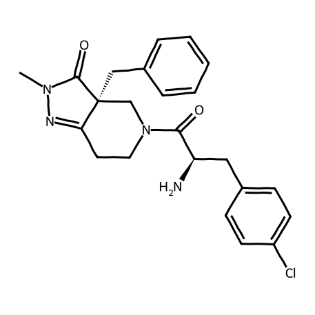 CN1N=C2CCN(C(=O)[C@H](N)Cc3ccc(Cl)cc3)C[C@]2(Cc2ccccc2)C1=O